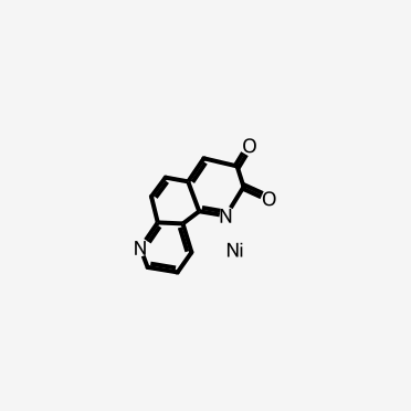 O=C1C=c2ccc3ncccc3c2=NC1=O.[Ni]